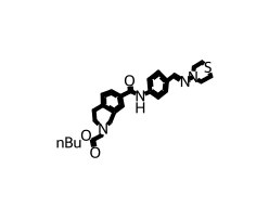 CCCCOC(=O)CN1CCc2ccc(C(=O)Nc3ccc(C=NN4CCSCC4)cc3)cc2C1